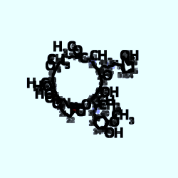 CO[C@@H]1CCC[C@@H](OC)C[C@@H](C)C(O)(O)C(=O)C(=O)N2CCCC[C@H]2C(=O)O[C@H](/C(C)=C/[C@@H]2CC[C@@H](O)[C@H](OC)C2)[C@H](C)[C@@H](O)CC(=O)[C@H](C/C=C/c2cccc[n+]2O)/C=C(\C)C1